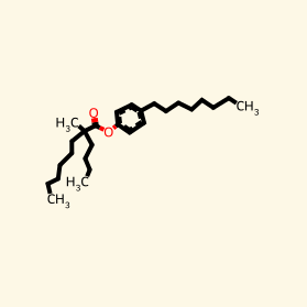 CCCCCCCCc1ccc(OC(=O)C(C)(CCCC)CCCCCC)cc1